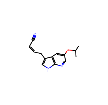 CC(C)Oc1cnc2[nH]cc(C/C=C\C#N)c2c1